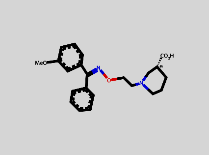 COc1cccc(C(=NOCCN2CCC[C@@H](C(=O)O)C2)c2ccccc2)c1